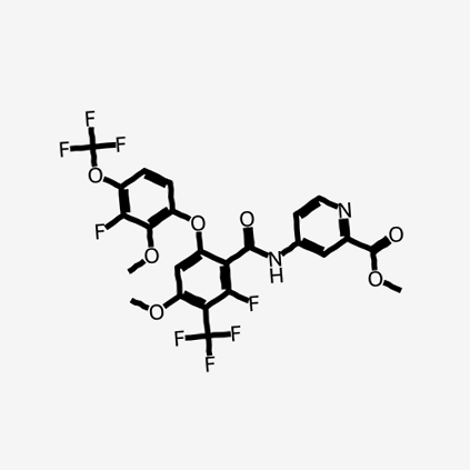 COC(=O)c1cc(NC(=O)c2c(Oc3ccc(OC(F)(F)F)c(F)c3OC)cc(OC)c(C(F)(F)F)c2F)ccn1